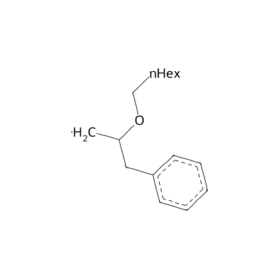 [CH2]C(Cc1ccccc1)OCCCCCCC